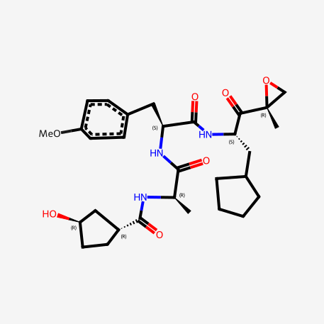 COc1ccc(C[C@H](NC(=O)[C@@H](C)NC(=O)[C@@H]2CC[C@@H](O)C2)C(=O)N[C@@H](CC2CCCC2)C(=O)[C@@]2(C)CO2)cc1